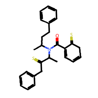 CC(CCc1ccccc1)N(C(=O)C1=CC=CCC1=S)C(C)C(=S)Cc1ccccc1